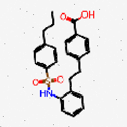 CCCc1ccc(S(=O)(=O)Nc2ccccc2CCc2ccc(C(=O)O)cc2)cc1